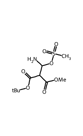 COC(=O)C(C(=O)OC(C)(C)C)C(N)OS(C)(=O)=O